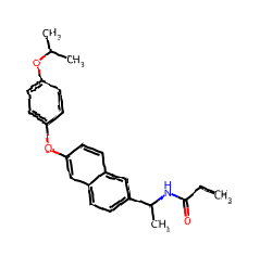 CCC(=O)NC(C)c1ccc2cc(Oc3ccc(OC(C)C)cc3)ccc2c1